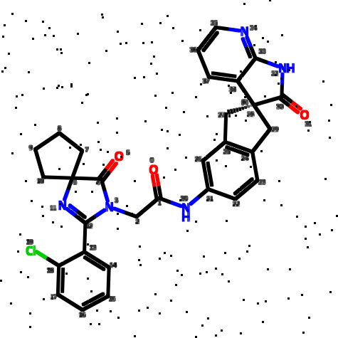 O=C(CN1C(=O)C2(CCCC2)N=C1c1ccccc1Cl)Nc1ccc2c(c1)C[C@@]1(C2)C(=O)Nc2ncccc21